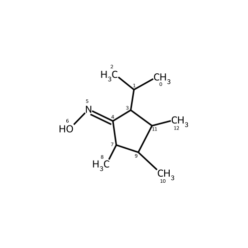 CC(C)C1/C(=N/O)C(C)C(C)C1C